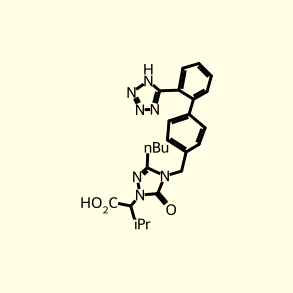 CCCCc1nn(C(C(=O)O)C(C)C)c(=O)n1Cc1ccc(-c2ccccc2-c2nnn[nH]2)cc1